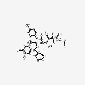 CC(C)[C@H](NC(=O)[C@@H](c1ccc(Cl)cc1)C(N)CC(c1ccccc1)c1ccc(Cl)c(Cl)c1)C(=O)C(F)(F)C(=O)NCC(F)(F)F